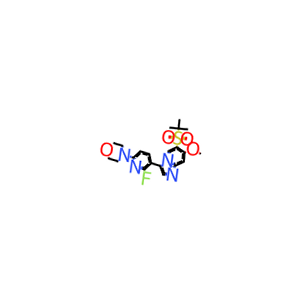 COc1cc2ncc(-c3ccc(N4CCOCC4)nc3F)n2cc1S(=O)(=O)C(C)(C)C